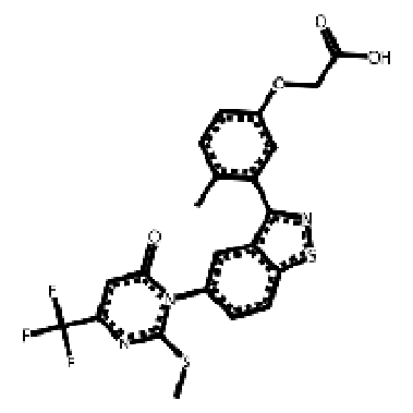 CSc1nc(C(F)(F)F)cc(=O)n1-c1ccc2snc(-c3cc(OCC(=O)O)ccc3C)c2c1